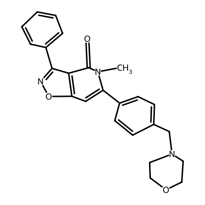 Cn1c(-c2ccc(CN3CCOCC3)cc2)cc2onc(-c3ccccc3)c2c1=O